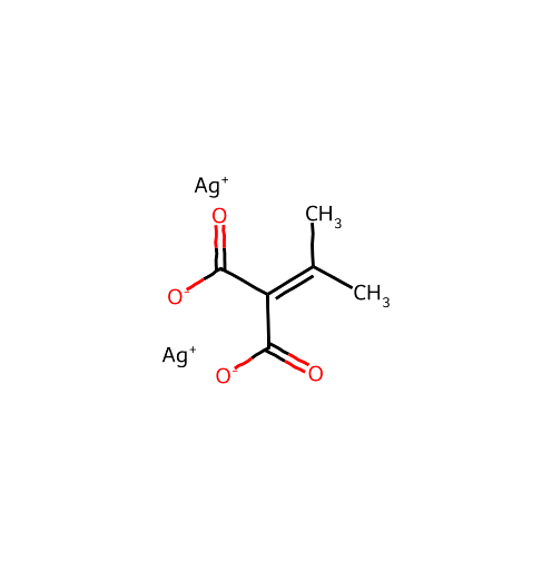 CC(C)=C(C(=O)[O-])C(=O)[O-].[Ag+].[Ag+]